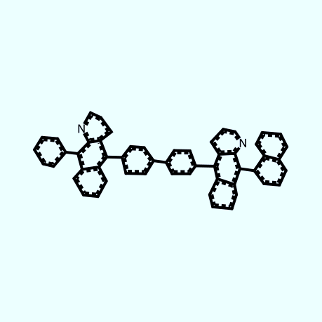 c1ccc(-c2c3ccccc3c(-c3ccc(-c4ccc(-c5c6ccccc6c(-c6cccc7ccccc67)c6ncccc56)cc4)cc3)c3cccnc23)cc1